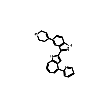 C1=CC=C(c2ccccn2)c2cc(-c3n[nH]c4ccc(C5=CCNCC5)cc34)[nH]c2C=1